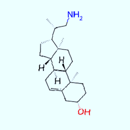 C[C@H](CN)[C@H]1CC[C@H]2[C@@H]3CC=C4C[C@@H](O)CC[C@]4(C)[C@H]3CC[C@]12C